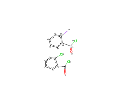 O=C(Cl)c1ccccc1Cl.O=C(Cl)c1ccccc1I